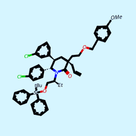 C=CC[C@]1(CCOCc2ccc(OC)cc2)C[C@H](c2cccc(Cl)c2)[C@@H](c2ccc(Cl)cc2)N([C@@H](CC)CO[Si](c2ccccc2)(c2ccccc2)C(C)(C)C)C1=O